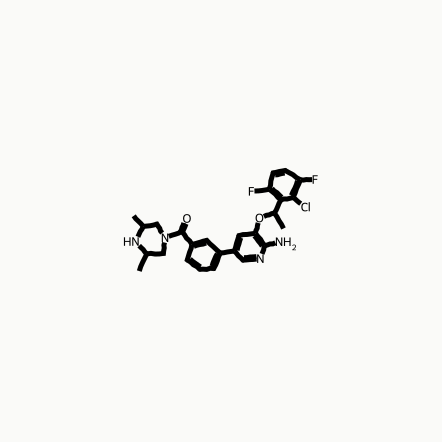 CC1CN(C(=O)c2cccc(-c3cnc(N)c(OC(C)c4c(F)ccc(F)c4Cl)c3)c2)CC(C)N1